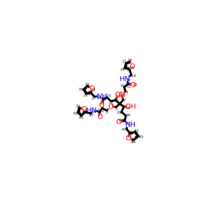 O=C(CCOCC(COCCC(=O)NCc1ccco1)(C(O)CCC(=O)NCc1ccco1)C(O)CCC(=O)NCc1ccco1)NCc1ccco1